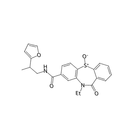 CCN1C(=O)c2ccccc2[S+]([O-])c2ccc(C(=O)NCC(C)c3ccco3)cc21